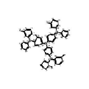 Cc1cccc(N(C2=CC=CCC2C)c2ccc(N(C3=CC(C)C(N(c4ccccc4)c4cccc(C)c4)C=C3)c3ccc(N(c4ccccc4)c4cccc(C)c4)cc3)cc2)c1